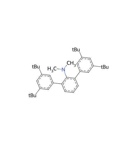 CN(C)c1c(-c2cc(C(C)(C)C)cc(C(C)(C)C)c2)cccc1-c1cc(C(C)(C)C)cc(C(C)(C)C)c1